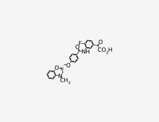 CN1C[C@@H](COc2ccc(C(=O)Nc3cc(C(=O)C(=O)O)ccc3F)cc2)Oc2ccccc21